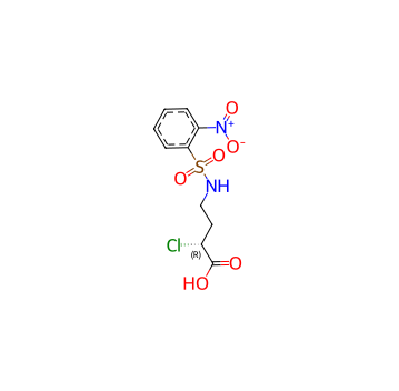 O=C(O)[C@H](Cl)CCNS(=O)(=O)c1ccccc1[N+](=O)[O-]